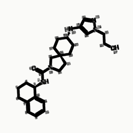 O=C(N[C@@H]1CCCc2ccccc21)N1CC[C@]2(CC[C@H](Nc3cnn(CCO)c3)CC2)C1